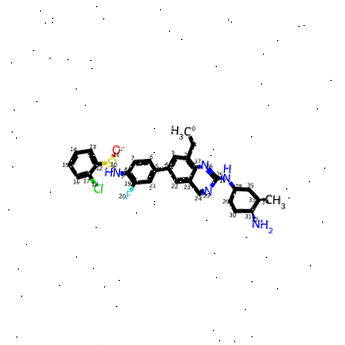 CCc1cc(-c2ccc(N[S+]([O-])c3ccccc3Cl)c(F)c2)cc2cnc(NC3CC[C@H](N)[C@H](C)C3)nc12